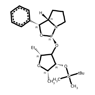 CC[C@H]1O[C@@H](C)[C@@H](O[Si](C)(C)C(C)(C)C)C1O[P@@]1O[C@H](c2ccccc2)[C@@H]2CCCN21